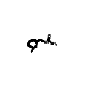 Cc1cccc(CNC(N)=O)c1